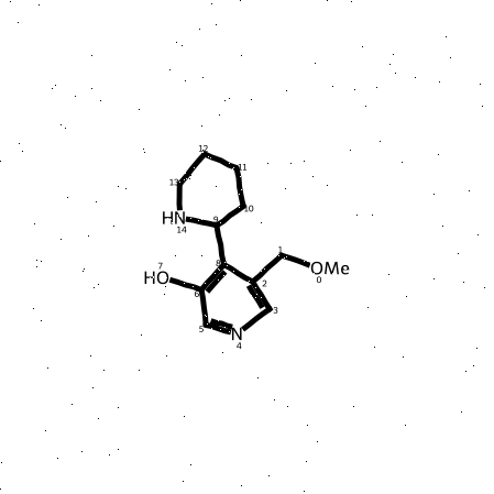 COCc1cncc(O)c1C1CCCCN1